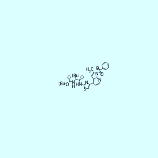 Cc1cc2c(-c3csc(NC(=O)[C@@H](NC(=O)OC(C)(C)C)C(C)(C)C)n3)ccnc2n1S(=O)(=O)c1ccccc1